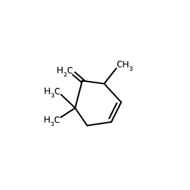 C=C1C(C)C=CCC1(C)C